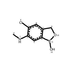 CNc1cc2c(cc1Cl)COB2O